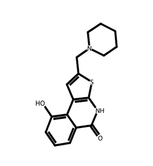 O=c1[nH]c2sc(CN3CCCCC3)cc2c2c(O)cccc12